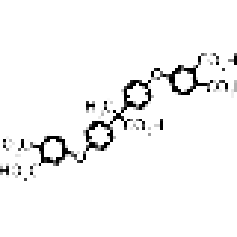 CC(C(=O)O)(c1ccc(Oc2ccc(C(=O)O)c(C(=O)O)c2)cc1)c1ccc(Oc2ccc(C(=O)O)c(C(=O)O)c2)cc1